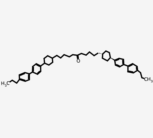 CCCc1ccc(-c2ccc(C3CCC(CCCCCC(=O)CCCCC[C@H]4CC[C@H](c5ccc(-c6ccc(CCC)cc6)cc5)CC4)CC3)cc2)cc1